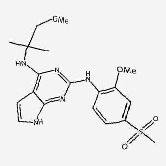 COCC(C)(C)Nc1nc(Nc2ccc(S(C)(=O)=O)cc2OC)nc2[nH]ccc12